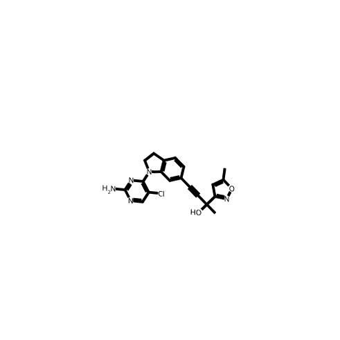 Cc1cc(C(C)(O)C#Cc2ccc3c(c2)N(c2nc(N)ncc2Cl)CC3)no1